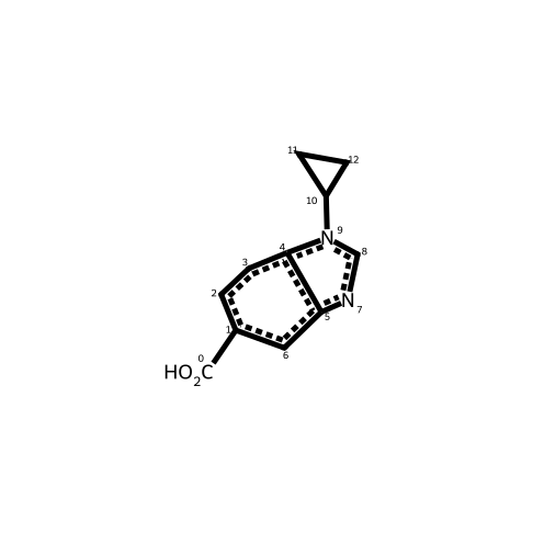 O=C(O)c1ccc2c(c1)ncn2C1CC1